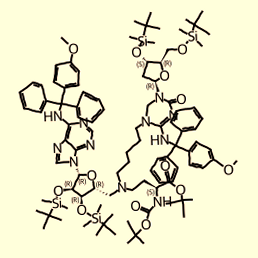 COc1ccc(C(NC2=NC(=O)N([C@H]3C[C@H](O[Si](C)(C)C(C)(C)C)[C@@H](CO[Si](C)(C)C(C)(C)C)O3)CN2CCCCCN(CC[C@H](NC(=O)OC(C)(C)C)C(=O)OC(C)(C)C)C[C@H]2O[C@@H](n3cnc4c(NC(c5ccccc5)(c5ccccc5)c5ccc(OC)cc5)ncnc43)[C@H](O[Si](C)(C)C(C)(C)C)[C@@H]2O[Si](C)(C)C(C)(C)C)(c2ccccc2)c2ccccc2)cc1